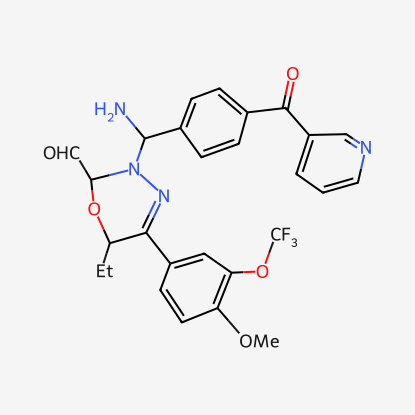 CCC1OC(C=O)N(C(N)c2ccc(C(=O)c3cccnc3)cc2)N=C1c1ccc(OC)c(OC(F)(F)F)c1